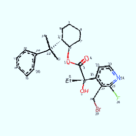 CC[C@@](O)(C(=O)O[C@@H]1CCCC[C@H]1C(C)(C)c1ccccc1)c1ccnc(F)c1CBr